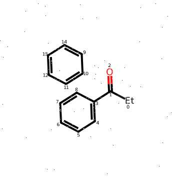 CCC(=O)c1ccccc1.c1ccccc1